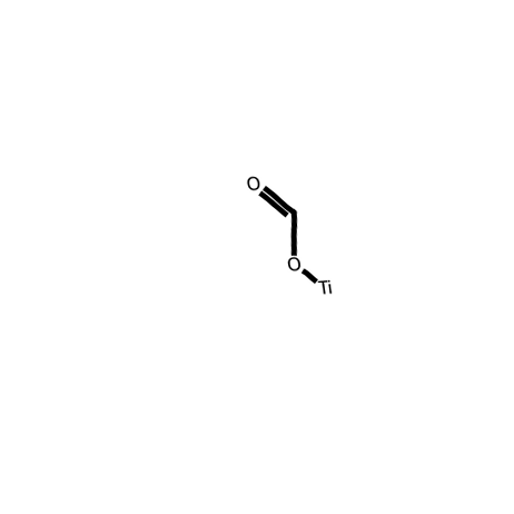 O=C[O][Ti]